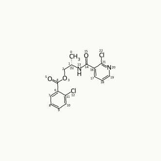 C[C@@H](COC(=O)c1ccccc1Cl)NC(=O)c1cccnc1Cl